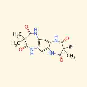 CC(C)C1(C)C(=O)Nc2cc3c(cc2NC1=O)NC(=O)C(C)(C)C(=O)N3